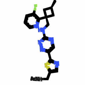 CC(=O)NCc1cnc(-c2cnc(NC[C@]3(c4ncccc4F)C[C@H](C)C3)nn2)s1